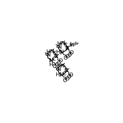 CC1=Cc2cc3[nH]c(cc4nc(cc5[nH]c(cc1n2)cc5C)C(C)=C4CCC(=O)[O-])c(CCC(=O)[O-])c3C.CC1=Cc2cc3[nH]c(cc4nc(cc5[nH]c(cc1n2)cc5C)C(C)=C4CCC(=O)[O-])c(CCC(=O)[O-])c3C.CC1=Cc2cc3[nH]c(cc4nc(cc5[nH]c(cc1n2)cc5C)C(C)=C4CCC(=O)[O-])c(CCC(=O)[O-])c3C.[In+3].[In+3]